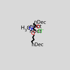 CCCCCCCCCCCCCCOCC(C(=O)CCCCCCCCCCC)[N+](C)(CCCCCCCC)CCCCCCCC.[Cl-]